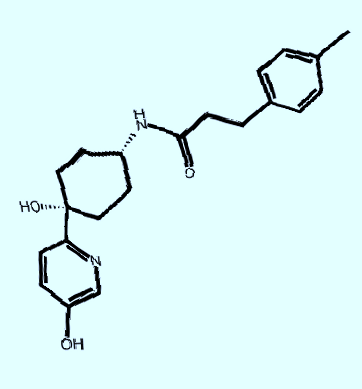 Cc1ccc(CCC(=O)N[C@H]2CC[C@](O)(c3ccc(O)cn3)CC2)cc1